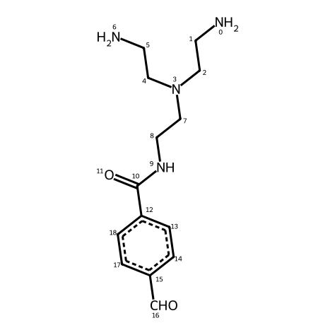 NCCN(CCN)CCNC(=O)c1ccc(C=O)cc1